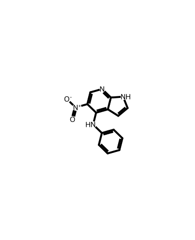 O=[N+]([O-])c1cnc2[nH]ccc2c1Nc1ccccc1